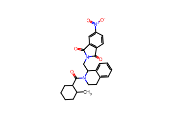 CC1CCCCC1C(=O)N1CCc2ccccc2C1CN1C(=O)c2ccc([N+](=O)[O-])cc2C1=O